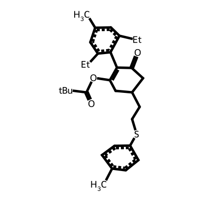 CCc1cc(C)cc(CC)c1C1=C(OC(=O)C(C)(C)C)CC(CCSc2ccc(C)cc2)CC1=O